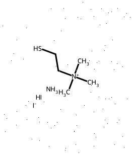 C[N+](C)(C)CCS.I.N.[I-]